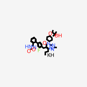 CCCc1c(Cc2ccc(-c3ccccc3-c3noc(=O)[nH]3)cc2F)c(=O)n([C@H]2CC[C@H](OC(C)C(C)(C)O)CC2)c2nc(C)nn12.[KH]